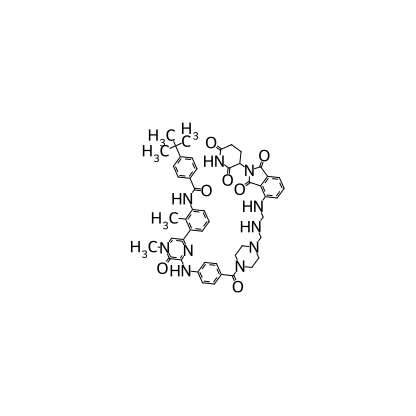 Cc1c(NC(=O)c2ccc(C(C)(C)C)cc2)cccc1-c1cn(C)c(=O)c(Nc2ccc(C(=O)N3CCN(CNCNc4cccc5c4C(=O)N(C4CCC(=O)NC4=O)C5=O)CC3)cc2)n1